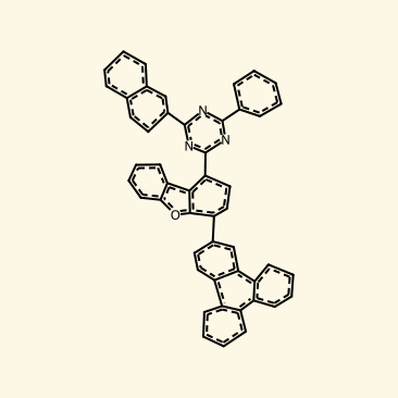 c1ccc(-c2nc(-c3ccc4ccccc4c3)nc(-c3ccc(-c4ccc5c6ccccc6c6ccccc6c5c4)c4oc5ccccc5c34)n2)cc1